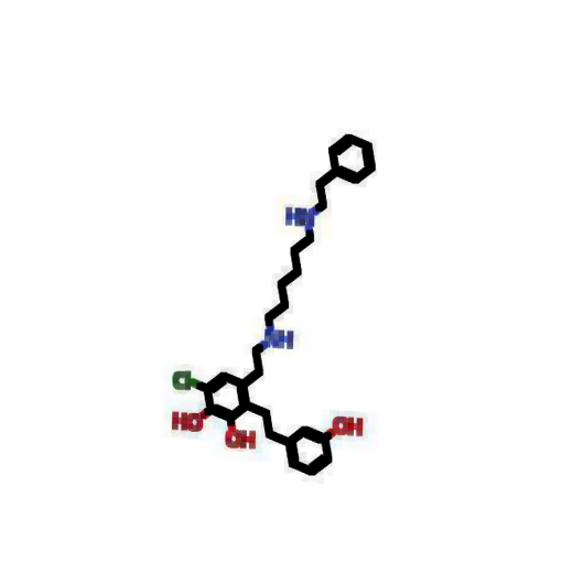 Oc1cccc(CCc2c(CCNCCCCCCNCCc3ccccc3)cc(Cl)c(O)c2O)c1